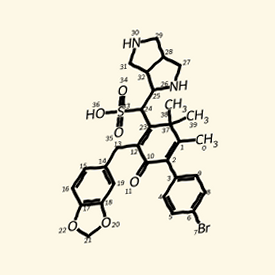 CC1=C(c2ccc(Br)cc2)C(=O)C(Cc2ccc3c(c2)OCO3)=C(C(C2NCC3CNCC32)S(=O)(=O)O)C1(C)C